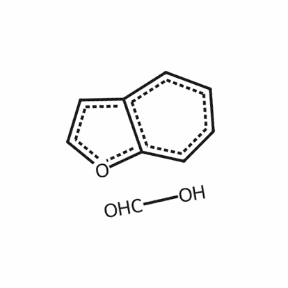 O=CO.c1ccc2occc2c1